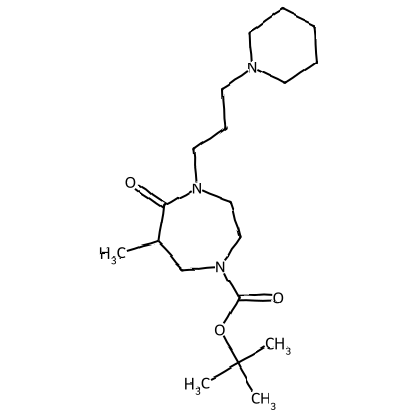 CC1CN(C(=O)OC(C)(C)C)CCN(CCCN2CCCCC2)C1=O